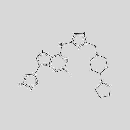 Cc1cn2c(-c3cn[nH]c3)cnc2c(Nc2cnc(CN3CCC(N4CCCC4)CC3)s2)n1